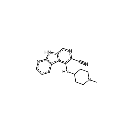 CN1CCC(Nc2c(C#N)ncc3[nH]c4ncccc4c23)CC1